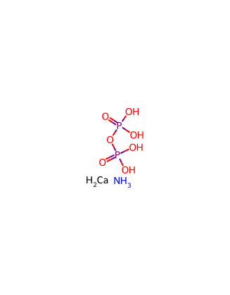 N.O=P(O)(O)OP(=O)(O)O.[CaH2]